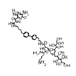 N=C(NCCCCc1ccc(-c2ccc(CCCNC(=O)C(CCCCN(CC(O)C(O)C(O)C(O)CO)CC(O)C(O)C(O)C(O)CO)NC(=O)C(N)CCCCN)cc2)cc1)NC(=O)c1nc(Cl)c(N)nc1N